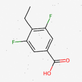 CCc1c(F)cc(C(=O)O)cc1F